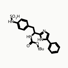 CC(C)(C)OC(=O)NC(Cc1ccc(NS(=O)(=O)O)cc1)c1ncc(-c2ccccc2)[nH]1